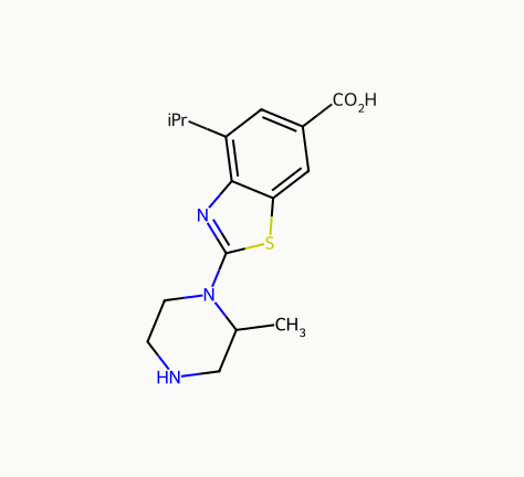 CC(C)c1cc(C(=O)O)cc2sc(N3CCNCC3C)nc12